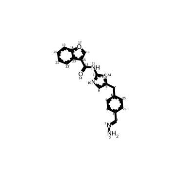 NN=Cc1ccc(Cc2cnc(NC(=O)c3coc4ccccc34)s2)cc1